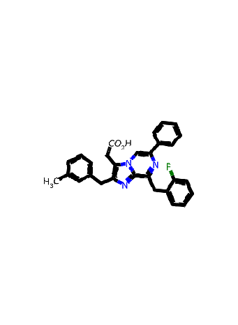 Cc1cccc(Cc2nc3c(Cc4ccccc4F)nc(-c4ccccc4)cn3c2CC(=O)O)c1